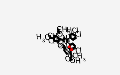 CCOc1cc(C(C)(C)C)ccc1C1=N[C@@H](c2ccc(Cl)cc2)[C@@H](c2ccc(Cl)cc2)N1C(=O)N1CCN(C(C)C(=O)O)CC1.Cl